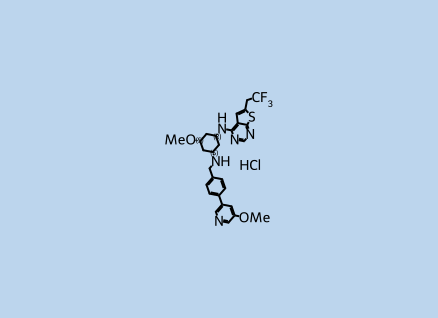 COc1cncc(-c2ccc(CN[C@H]3C[C@@H](Nc4ncnc5sc(CC(F)(F)F)cc45)C[C@@H](OC)C3)cc2)c1.Cl